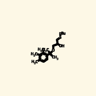 CCCCSCC(O)COC(C)(C)c1ccc(C)c(C)c1C